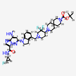 CNc1cc(N2CCc3c(CN4CCC(N5CCC6(CCN(C(=O)OC(C)(C)C)CC6)CC5)C(F)(F)C4)cccc32)nn2c(C(=O)N[C@@H]3C[C@@H]3F)cnc12